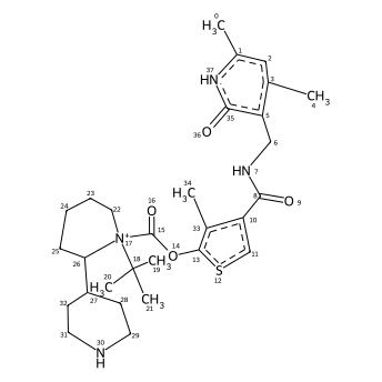 Cc1cc(C)c(CNC(=O)c2csc(OC(=O)[N+]3(C(C)(C)C)CCCCC3C3CCNCC3)c2C)c(=O)[nH]1